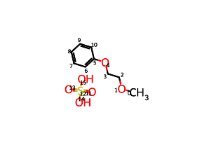 COCCOc1ccccc1.O=S(=O)(O)O